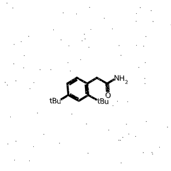 CC(C)(C)c1ccc(CC(N)=O)c(C(C)(C)C)c1